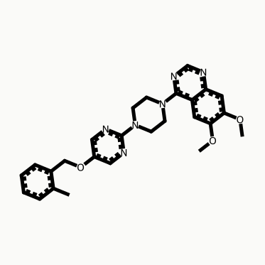 COc1cc2ncnc(N3CCN(c4ncc(OCc5ccccc5C)cn4)CC3)c2cc1OC